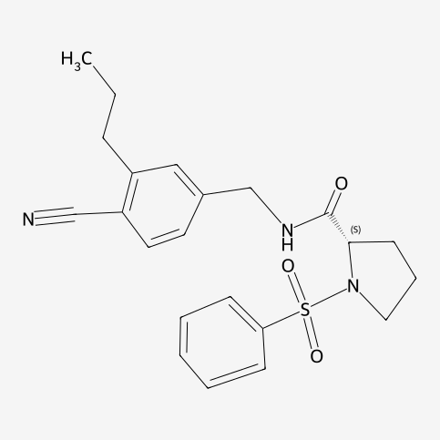 CCCc1cc(CNC(=O)[C@@H]2CCCN2S(=O)(=O)c2ccccc2)ccc1C#N